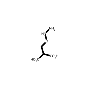 NNOCC(C(=O)O)C(=O)O